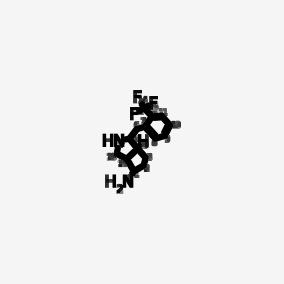 NC1CC[C@H]2C(Cc3ccccc3C(F)(F)F)NCC12